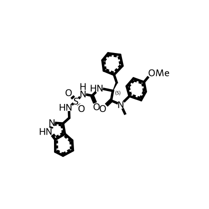 COc1ccc(N(C)C(=O)[C@H](Cc2ccccc2)NC(=O)NS(=O)(=O)NCc2n[nH]c3ccccc23)cc1